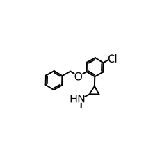 CNC1CC1c1cc(Cl)ccc1OCc1ccccc1